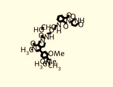 COc1cc(-c2cn(C)c(=O)c3c2CCN(C(=O)NCCOCCNc2cccc4c2C(=O)N(C2CCC(=O)NC2=O)C4=O)C3)cc(OC)c1CN(C)C.O=CO